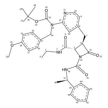 CCNC(=O)[C@@H]1[C@@H](Cc2ccnc(N(Cc3ccc(OC)cc3)C(=O)OC(C)(C)C)c2)C(=O)N1C(=O)N[C@H](C)c1ccccc1